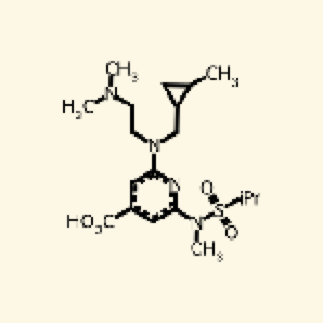 CC1CC1CN(CCN(C)C)c1cc(C(=O)O)cc(N(C)S(=O)(=O)C(C)C)n1